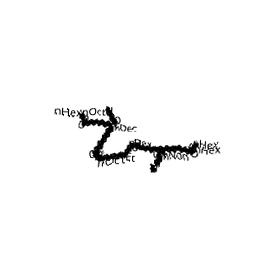 CCCCCCCCCCN(C(=O)CCCN(C)C)C(CCCCCCCCC(=O)OCC(CCCCCC)CCCCCCCC)CCCCCCCCC(=O)OCC(CCCCCCCC)CCCCCCC(CC)CCCC(CCCCCC)OC(=O)CCCCCCCCC(CCCCCCCCC(=O)OC(CCCCCC)CCCCCC)N(CCCCCCCCC)C(=O)CCCN(C)C